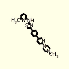 Cc1cccc(Nc2nc(-c3ccc(-c4ccc(N5CCN(C)CC5)nc4)cc3)cs2)n1